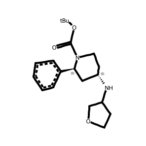 CC(C)(C)OC(=O)N1CC[C@H](NC2CCOC2)C[C@H]1c1ccccc1